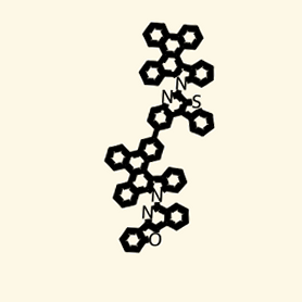 c1ccc2c(c1)oc1c3ccccc3c(-n3c4ccccc4c4c5c6ccc(-c7ccc8nc(-n9c%10ccccc%10c%10c%11c%12ccccc%12c%12ccccc%12c%11c%11ccccc%11c%109)c9sc%10ccccc%10c9c8c7)cc6c6ccccc6c5c5ccccc5c43)nc21